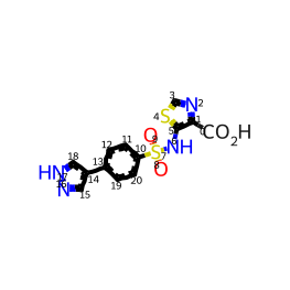 O=C(O)c1ncsc1NS(=O)(=O)c1ccc(-c2cn[nH]c2)cc1